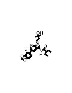 CCC(CC)C(=O)Nc1nn(CCC(C)(C)O)c2ncc(-c3ccc4c(c3F)OCO4)cc12